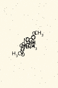 COc1ccc(OCC2CC2)c(-c2ccnc3c(C(=O)NC4CN(C(C)=O)CC4O)c(C)[nH]c23)c1